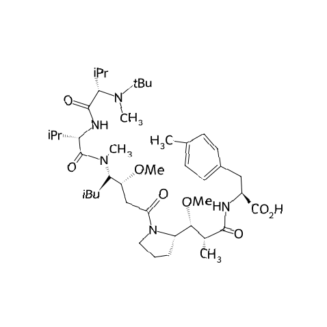 CC[C@H](C)[C@@H]([C@@H](CC(=O)N1CCC[C@H]1[C@H](OC)[C@@H](C)C(=O)N[C@@H](Cc1ccc(C)cc1)C(=O)O)OC)N(C)C(=O)[C@@H](NC(=O)[C@H](C(C)C)N(C)C(C)(C)C)C(C)C